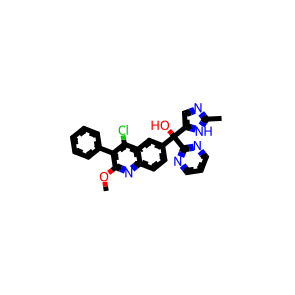 COc1nc2ccc(C(O)(c3ncccn3)c3cnc(C)[nH]3)cc2c(Cl)c1-c1ccccc1